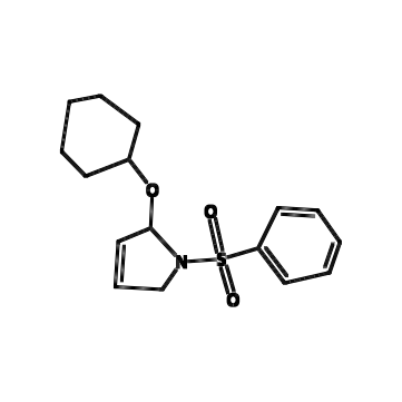 O=S(=O)(c1ccccc1)N1CC=CC1OC1CCCCC1